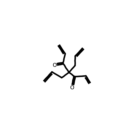 C=CCC(CC=C)(C(=O)C=C)C(=O)C=C